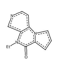 CCn1c(=O)c2cccn2c2ccncc21